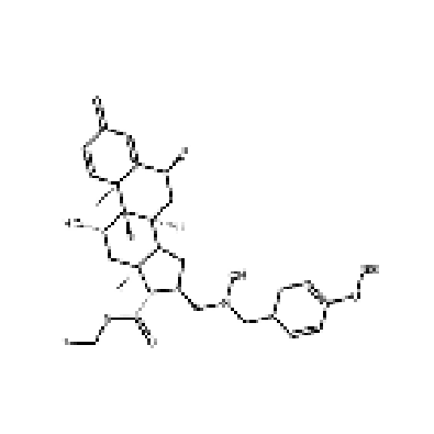 CC(C)(C)OC1=CCC(CN(O)C[C@@H]2CC3[C@@H]4C[C@H](F)C5=CC(=O)C=C[C@]5(C)[C@@]4(F)[C@@H](O)C[C@]3(C)[C@H]2C(=O)SCF)C=C1